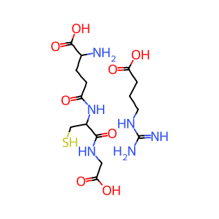 N=C(N)NCCCC(=O)O.NC(CCC(=O)NC(CS)C(=O)NCC(=O)O)C(=O)O